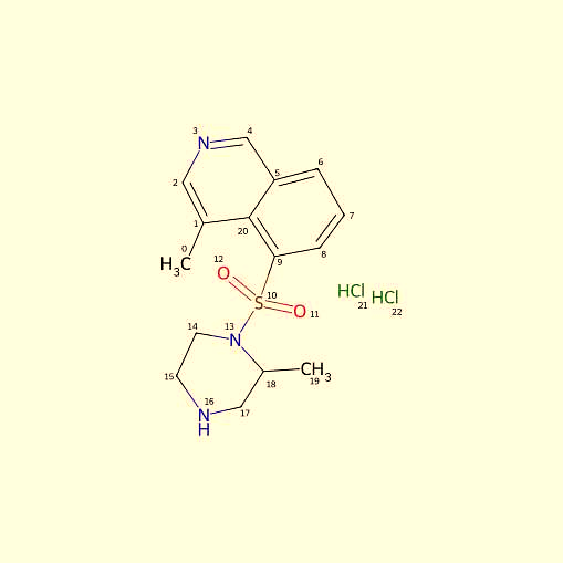 Cc1cncc2cccc(S(=O)(=O)N3CCNCC3C)c12.Cl.Cl